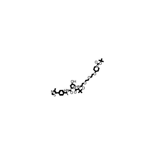 Cc1ncsc1-c1ccc([C@H](C)NC(=O)[C@@H]2C[C@@H](O)CN2C(=O)C(NC(=O)COCCOCCOC2CCN(C(=O)OC(C)(C)C)CC2)C(C)(C)C)cc1